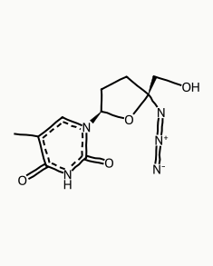 Cc1cn([C@H]2CC[C@](CO)(N=[N+]=[N-])O2)c(=O)[nH]c1=O